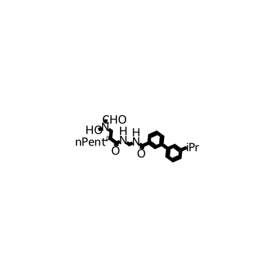 CCCCC[C@H](CN(O)C=O)C(=O)NCNC(=O)c1cccc(-c2cccc(C(C)C)c2)c1